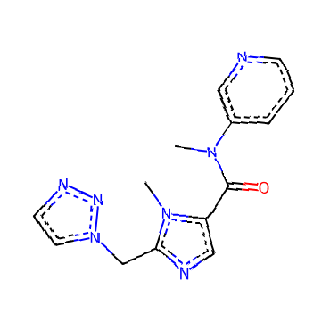 CN(C(=O)c1cnc(Cn2ccnn2)n1C)c1cccnc1